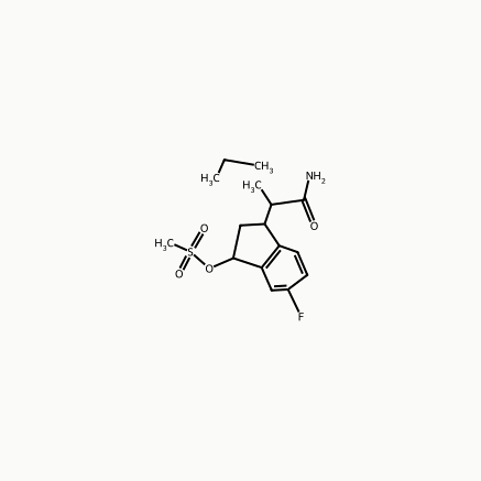 CC(C(N)=O)C1CC(OS(C)(=O)=O)c2cc(F)ccc21.CCC